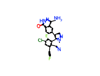 Cn1ncc(-c2ccc3c(=O)[nH]nc(CN)c3c2)c1-c1c(F)c(Cl)cc(C#CF)c1C#N